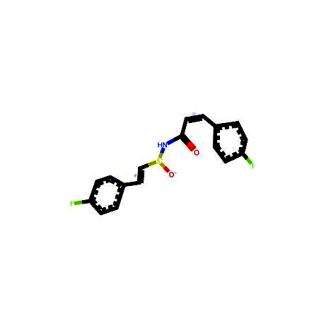 O=C(/C=C\c1ccc(F)cc1)N[S+]([O-])/C=C/c1ccc(F)cc1